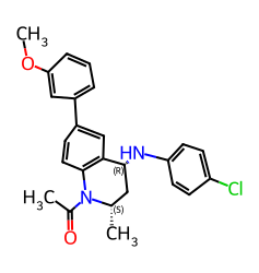 COc1cccc(-c2ccc3c(c2)[C@H](Nc2ccc(Cl)cc2)C[C@H](C)N3C(C)=O)c1